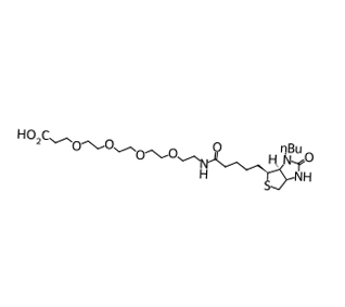 CCCCN1C(=O)NC2CS[C@@H](CCCCC(=O)NCCOCCOCCOCCOCCC(=O)O)[C@H]21